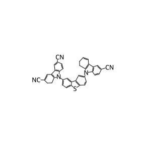 N#CC1=Cc2c(n(-c3ccc4sc5ccc(-n6c7c(c8cc(C#N)ccc86)C=CCC7)cc5c4c3)c3ccc(C#N)cc23)CC1